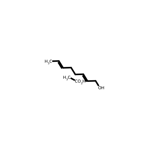 CC(=O)O.CC=CCCC=CCO